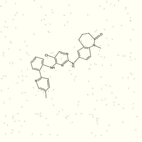 Cc1ccc(-c2ccccc2Nc2nc(Nc3ccc4c(c3)CCCC(=O)N4C)ncc2Cl)nc1